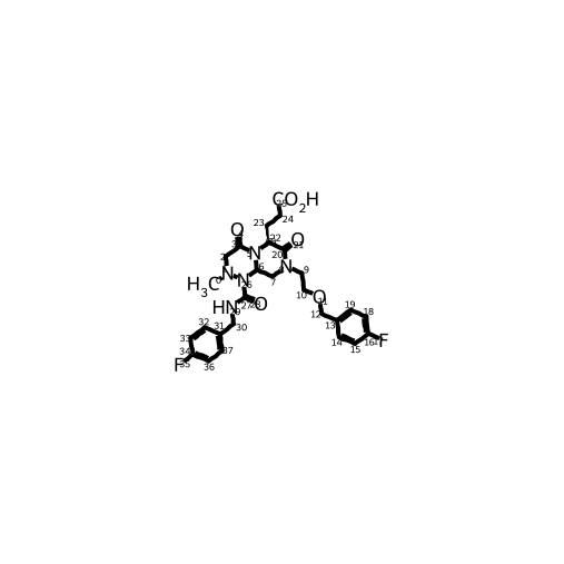 CN1CC(=O)N2C(CN(CCOCc3ccc(F)cc3)C(=O)[C@@H]2CCC(=O)O)N1C(=O)NCc1ccc(F)cc1